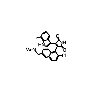 CNCc1ccc2c(C3=C(c4c[nH]c5c(C)cccc45)C(=O)NC3=O)c(Cl)ccc2c1